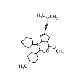 COC(=O)c1sc(C#CC(C)C)cc1N(C(=O)[C@H]1CC[C@H](C)CC1)C1CCOCC1